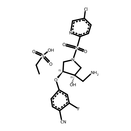 CCS(=O)(=O)O.N#Cc1ccc(O[C@H]2CN(S(=O)(=O)c3ccc(Cl)cn3)C[C@@]2(O)CN)cc1F